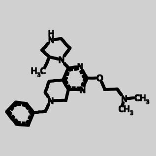 CC1CNCCN1c1nc(OCCN(C)C)nc2c1CCN(Cc1ccccc1)C2